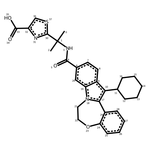 CC(C)(NC(=O)c1ccc2c(C3CCCCC3)c3n(c2c1)CCOc1ccccc1-3)c1nc(C(=O)O)cs1